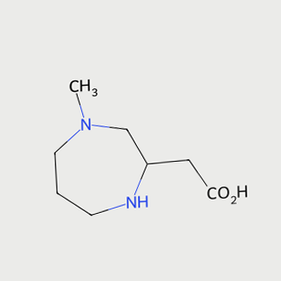 CN1CCCNC(CC(=O)O)C1